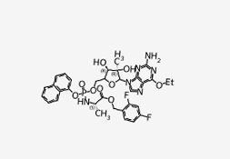 CCOc1nc(N)nc2c1ncn2C1OC(COP(=O)(N[C@@H](C)C(=O)OCc2ccc(F)cc2F)Oc2cccc3ccccc23)[C@@H](O)[C@@]1(C)O